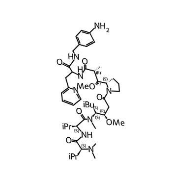 CC[C@H](C)[C@@H]([C@@H](CC(=O)N1CCC[C@H]1[C@H](OC)[C@@H](C)C(=O)NC(Cc1ccccn1)C(=O)NCc1ccc(N)cc1)OC)N(C)C(=O)[C@@H](NC(=O)[C@H](C(C)C)N(C)C)C(C)C